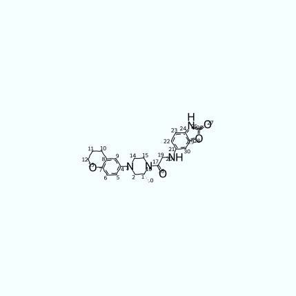 C[C@@H]1CN(c2ccc3c(c2)CCCO3)CCN1C(=O)CNc1ccc2[nH]c(=O)oc2c1